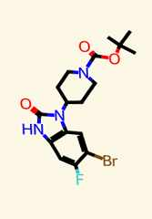 CC(C)(C)OC(=O)N1CCC(n2c(=O)[nH]c3cc(F)c(Br)cc32)CC1